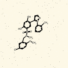 COc1ccc(Cl)cc1CN(C)S(=O)(=O)c1cc(-c2ccnn2-c2ccccc2C)c(O)cc1O